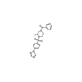 CC1CN(C(=O)c2ccccc2)CCN1S(=O)(=O)c1ccc(-n2cncn2)cc1